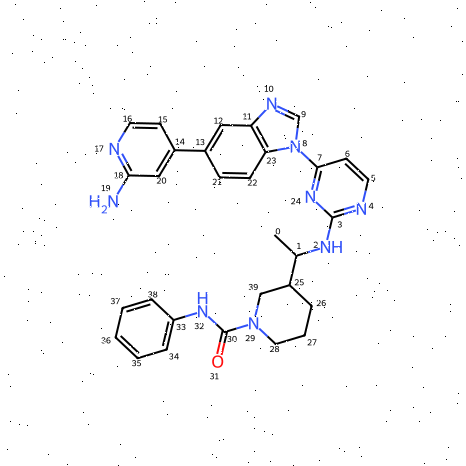 CC(Nc1nccc(-n2cnc3cc(-c4ccnc(N)c4)ccc32)n1)C1CCCN(C(=O)Nc2ccccc2)C1